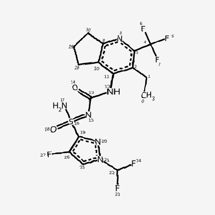 CCc1c(C(F)(F)F)nc2c(c1NC(=O)N=S(N)(=O)c1nn(C(F)F)cc1F)CCC2